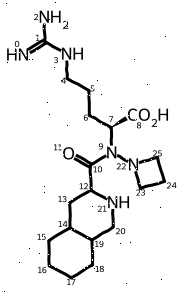 N=C(N)NCCC[C@@H](C(=O)O)N(C(=O)C1CC2CCCCC2CN1)N1CCC1